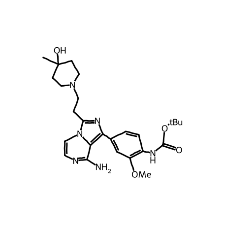 COc1cc(-c2nc(CCN3CCC(C)(O)CC3)n3ccnc(N)c23)ccc1NC(=O)OC(C)(C)C